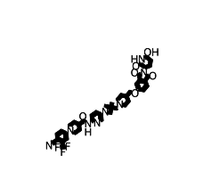 CC1(CN2CCC(COc3ccc4c(c3)C(=O)N(C3CCC(O)NC3=O)C4=O)CC2)CN(c2ccc(NC(=O)C3CCN(c4ccc(C#N)c(C(F)(F)F)c4)CC3)nc2)C1